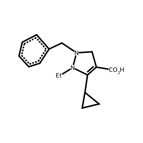 CCN1C(C2CC2)=C(C(=O)O)CN1Cc1ccccc1